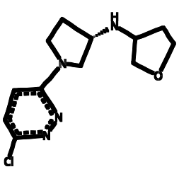 Clc1ccc(N2CC[C@H](NC3CCOC3)C2)nn1